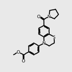 COC(=O)c1ccc(N2CCSc3cc(C(=O)N4CCCC4)ccc32)cc1